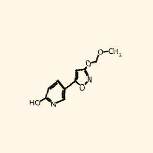 COCOc1cc(-c2ccc(O)nc2)on1